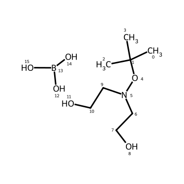 CC(C)(C)ON(CCO)CCO.OB(O)O